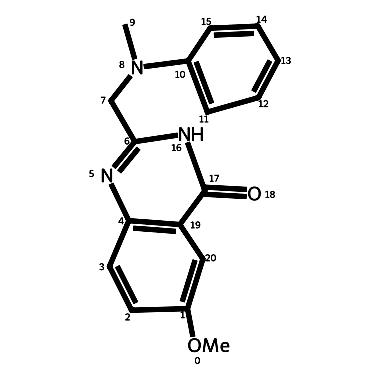 COc1ccc2nc(CN(C)c3ccccc3)[nH]c(=O)c2c1